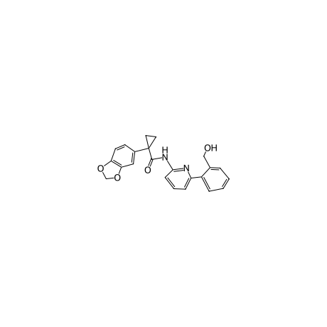 O=C(Nc1cccc(-c2ccccc2CO)n1)C1(c2ccc3c(c2)OCO3)CC1